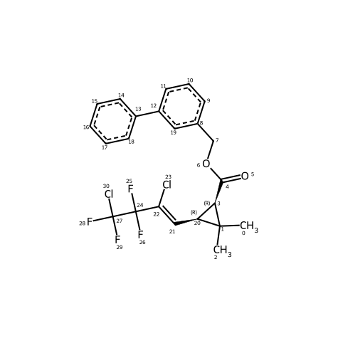 CC1(C)[C@H](C(=O)OCc2cccc(-c3ccccc3)c2)[C@@H]1C=C(Cl)C(F)(F)C(F)(F)Cl